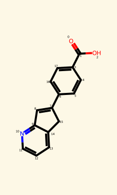 O=C(O)c1ccc(C2=Cc3ncccc3C2)cc1